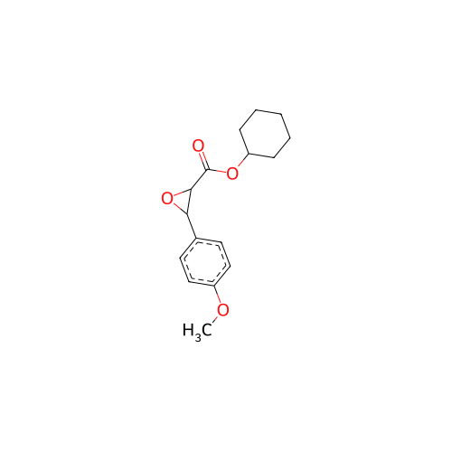 COc1ccc(C2OC2C(=O)OC2CCCCC2)cc1